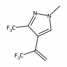 C=C(c1cn(C)nc1C(F)(F)F)C(F)(F)F